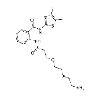 Cc1nc(NC(=O)c2ccccc2NC(=O)CCOCCOCCN)sc1C